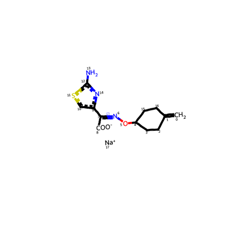 C=C1CCC(O/N=C(\C(=O)[O-])c2csc(N)n2)CC1.[Na+]